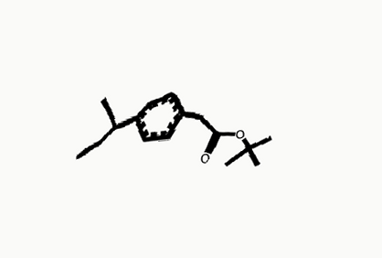 CCC(C)c1ccc(CC(=O)OC(C)(C)C)cc1